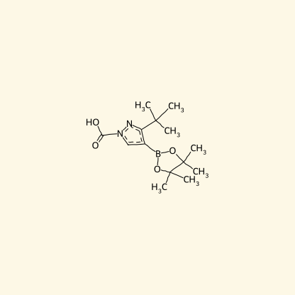 CC(C)(C)c1nn(C(=O)O)cc1B1OC(C)(C)C(C)(C)O1